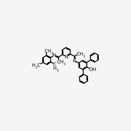 C/C(=N\c1cc(-c2ccccc2)c(O)c(-c2ccccc2)c1)c1cccc(/C(C)=N/c2c(C)cc(C)cc2C)n1